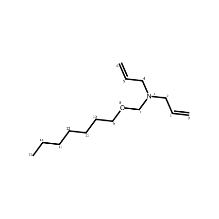 C=CCN(CC=C)COCCCCCCC